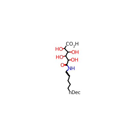 CCCCCCCCCCCCCC=CNC(=O)C(O)C(O)C(O)C(O)C(=O)O